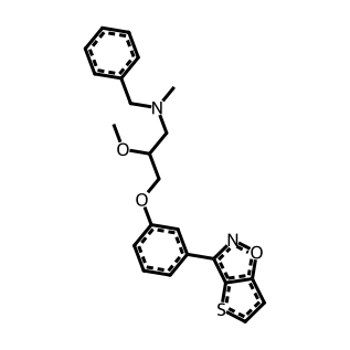 COC(COc1cccc(-c2noc3ccsc23)c1)CN(C)Cc1ccccc1